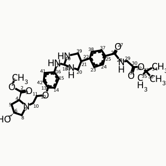 COC(=O)[C@@H]1C[C@@H](O)CN1CCOc1ccc(NC2NCC(c3ccc(C(=O)NCC(=O)OC(C)(C)C)cc3)CN2)cc1